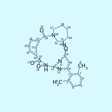 Cc1cccc(C)c1-c1cc2nc(n1)NS(=O)(=O)c1cccc(c1)C(=O)N1CCCC[C@@H](C1)O2